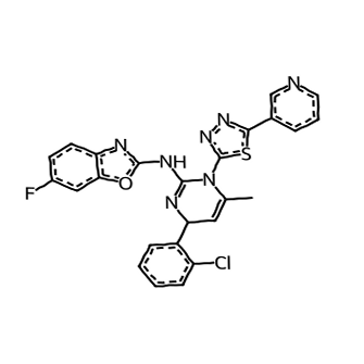 CC1=CC(c2ccccc2Cl)N=C(Nc2nc3ccc(F)cc3o2)N1c1nnc(-c2cccnc2)s1